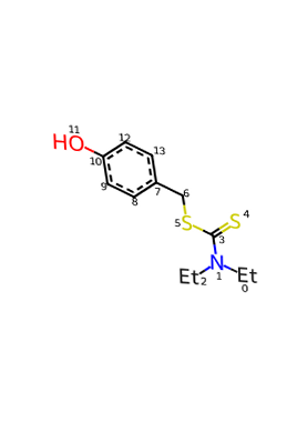 CCN(CC)C(=S)SCc1ccc(O)cc1